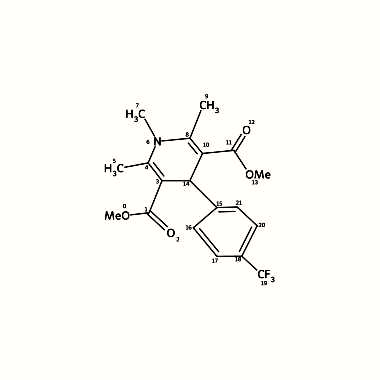 COC(=O)C1=C(C)N(C)C(C)=C(C(=O)OC)C1c1ccc(C(F)(F)F)cc1